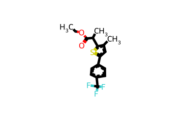 CCOC(=O)C(C)c1sc(-c2ccc(C(F)(F)F)cc2)cc1C